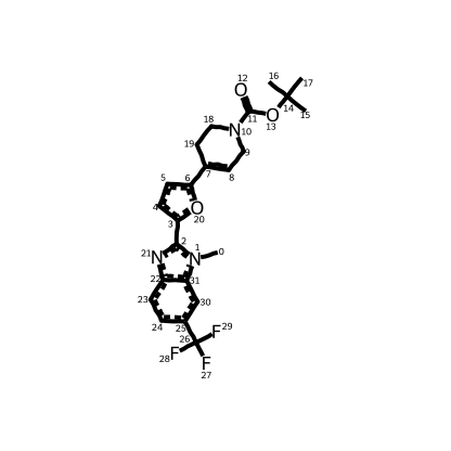 Cn1c(-c2ccc(C3=CCN(C(=O)OC(C)(C)C)CC3)o2)nc2ccc(C(F)(F)F)cc21